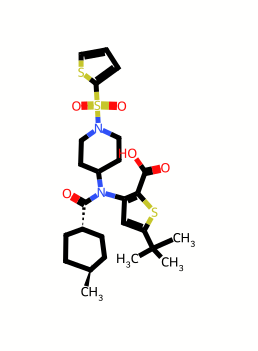 CC(C)(C)c1cc(N(C(=O)[C@H]2CC[C@H](C)CC2)C2CCN(S(=O)(=O)c3cccs3)CC2)c(C(=O)O)s1